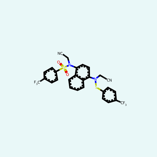 N#CCN(Sc1ccc(C(F)(F)F)cc1)c1ccc(N(CC#N)S(=O)(=O)c2ccc(C(F)(F)F)cc2)c2ccccc12